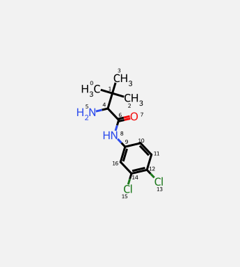 CC(C)(C)C(N)C(=O)Nc1ccc(Cl)c(Cl)c1